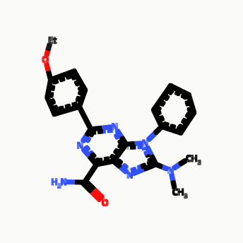 CCOc1ccc(-c2nc(C(N)=O)c3nc(N(C)C)n(-c4ccccc4)c3n2)cc1